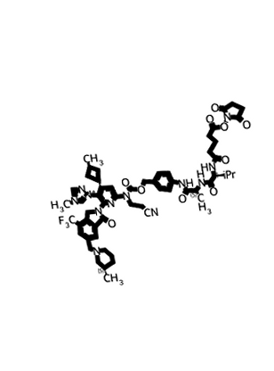 CC(C)[C@H](NC(=O)CCCC(=O)ON1C(=O)CCC1=O)C(=O)N[C@@H](C)C(=O)Nc1ccc(COC(=O)N(CCC#N)c2cc([C@H]3C[C@H](C)C3)c(-[n+]3cn(C)cn3)c(N3Cc4c(cc(CN5CCC[C@H](C)C5)cc4C(F)(F)F)C3=O)n2)cc1